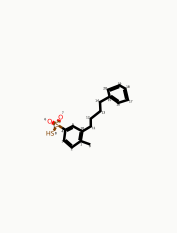 Cc1ccc(S(=O)(=O)S)cc1CCCCc1ccccc1